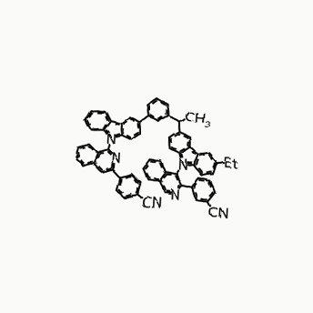 CCc1ccc2c(c1)c1cc(C(C)c3cccc(-c4ccc5c(c4)c4ccccc4n5-c4nc(-c5ccc(C#N)cc5)cc5ccccc45)c3)ccc1n2-c1c(-c2cccc(C#N)c2)ncc2ccccc12